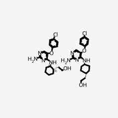 Nc1ncc(Oc2ccc(Cl)cc2)c(N[C@@H]2CCCC[C@H]2CCO)n1.Nc1ncc(Oc2ccc(Cl)cc2)c(N[C@H]2CC[C@@H](CCO)CC2)n1